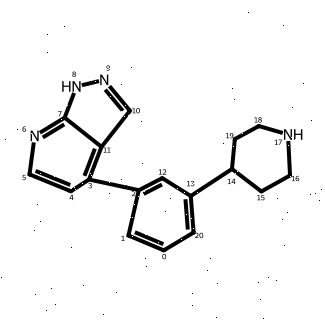 c1cc(-c2ccnc3[nH]ncc23)cc(C2CCNCC2)c1